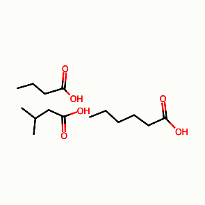 CC(C)CC(=O)O.CCCC(=O)O.CCCCCC(=O)O